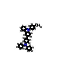 Cc1ccc(-n2c3ccccc3c3cc(-c4ccc(N(c5ccccc5)c5ccccc5)cc4)ccc32)cc1